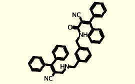 N#CC(CNCc1cccc(CNC(=O)C(C#N)=C(c2ccccc2)c2ccccc2)c1)=C(c1ccccc1)c1ccccc1